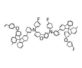 C=CC1=CC=C(OC2C=CC(C3(C4CC(C)C=CC4C)c4ccccc4C4C=CC(c5cccc(N(C6=CC=C(F)CC6)c6ccc7c(c6)C6C=C(N(C8=CCCC(C9=CC%10C(CC9)C9=C(CCC=C9)C%10(c9ccc(Oc%10ccc(C=C)cc%10)cc9)c9cc(C)ccc9C)=C8)C8=CC=C(F)CC8)C=CC6O7)c5)=CC43)=CC2)CC1